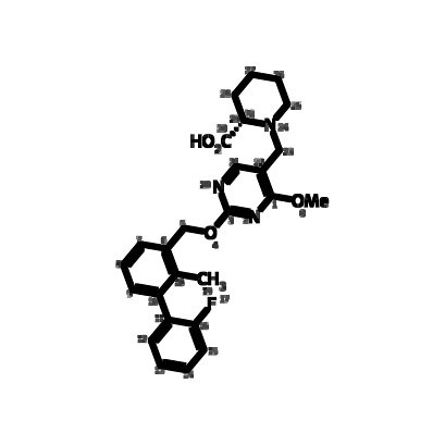 COc1nc(OCc2cccc(-c3ccccc3F)c2C)ncc1CN1CCCC[C@H]1C(=O)O